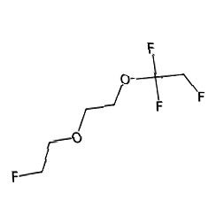 FCCOCCOC(F)(F)CF